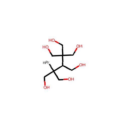 CCCC(CO)(CO)C(CO)C(CO)(CO)CO